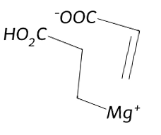 C=CC(=O)[O-].O=C(O)C[CH2][Mg+]